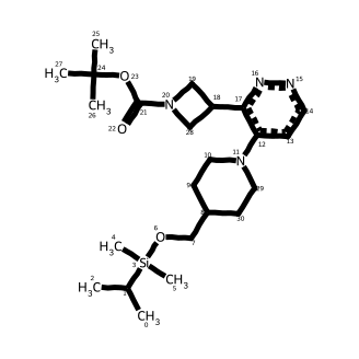 CC(C)[Si](C)(C)OCC1CCN(c2ccnnc2C2CN(C(=O)OC(C)(C)C)C2)CC1